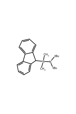 CC(C)(C)N(C(C)(C)C)[Si](C)(C)C1c2ccccc2-c2ccccc21